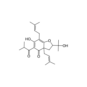 CC(C)=CCC1=C2OC(C(C)(C)O)CC2(CC=C(C)C)C(=O)C(C(=O)C(C)C)=C1O